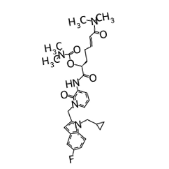 CN(C)C(=O)/C=C/CC[C@H](OC(=O)N(C)C)C(=O)Nc1cccn(Cc2cc3cc(F)ccc3n2CC2CC2)c1=O